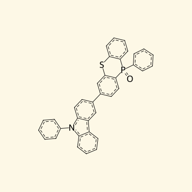 O=P1(c2ccccc2)c2ccccc2Sc2cc(-c3ccc4c(c3)c3ccccc3n4-c3ccccc3)ccc21